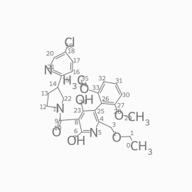 CCOCc1nc(O)c(C(=O)N2CCC(c3ccc(Cl)cn3)C2)c(O)c1-c1c(OC)cccc1OC